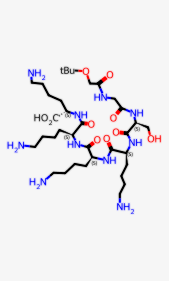 CC(C)(C)OCC(=O)NCC(=O)N[C@@H](CO)C(=O)N[C@@H](CCCCN)C(=O)N[C@@H](CCCCN)C(=O)N[C@@H](CCCCN)C(=O)N[C@@H](CCCCN)C(=O)O